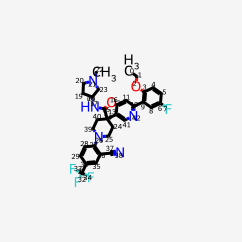 CCOc1ccc(F)cc1-c1ccc(C2(C(=O)N[C@@H]3CCN(C)C3)CCN(c3ccc(C(F)(F)F)cc3C#N)CC2)cn1